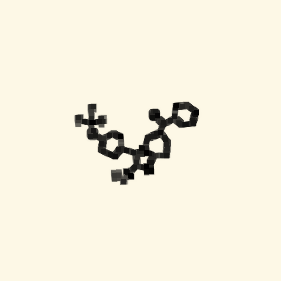 Nc1nc2ccc(C(=O)c3ccccc3)cn2c1-c1ccc(OC(F)(F)F)cc1